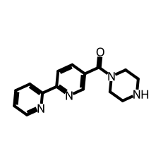 O=C(c1ccc(-c2ccccn2)nc1)N1CCNCC1